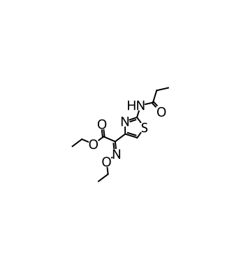 CCON=C(C(=O)OCC)c1csc(NC(=O)CC)n1